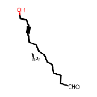 CCCC.O=CCCCCCCCCCC#CCCO